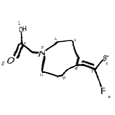 O=C(O)N1CCC(=C(F)Br)CC1